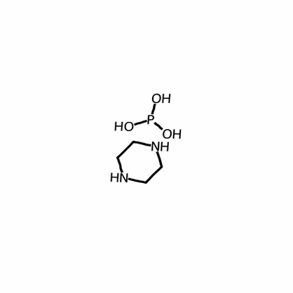 C1CNCCN1.OP(O)O